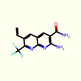 C=Cc1cc2cc(C(N)=O)c(N)nc2nc1C(F)(F)F